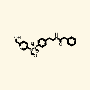 O=CN(c1ccc(CO)nc1)S(=O)(=O)c1ccc(CCNC(=O)Cc2ccccc2)cc1